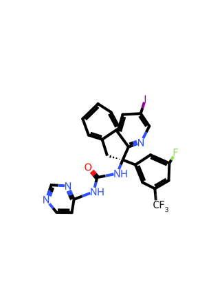 O=C(Nc1ccncn1)N[C@](Cc1ccccc1)(c1cc(F)cc(C(F)(F)F)c1)c1ccc(I)cn1